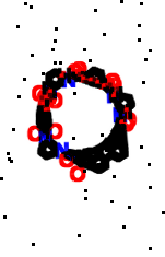 O=C1c2ccc3c4c5ccc(c24)C(=O)N1C1=C(CCCC1)N1C(=O)c2ccc4c6ccc7c8c(ccc(c9ccc(c2c49)C1=O)c86)C(=O)N(C7=O)[C@@H]1CCCC[C@H]1N1C(=O)c2ccc4c6c(ccc(c26)C1=O)C(=O)N(C4=O)[C@@H]1CCCC[C@H]1N(C3=O)C5=O